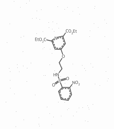 CCOC(=O)c1cc(OCCNS(=O)(=O)c2ccccc2[N+](=O)[O-])cc(C(=O)OCC)n1